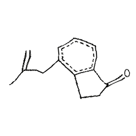 C=C(C)Cc1cccc2c1CCC2=O